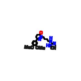 C/N=C(\NC#N)NCCCCN1N=C(c2ccc(OC)c(OC)c2)CCC1=O